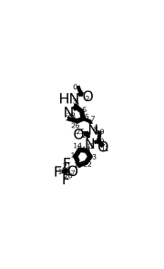 CC(=O)Nc1cc(CN2CC(=O)N(c3ccc(OC(F)(F)F)cc3)C2=O)ccn1